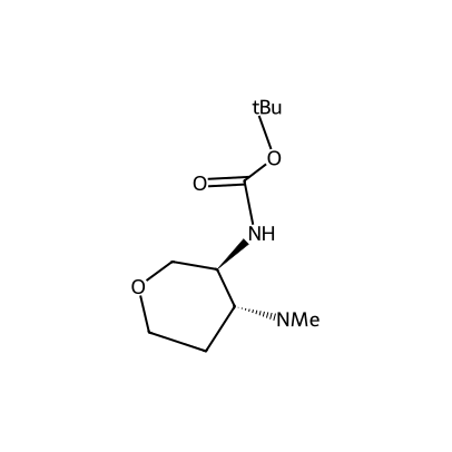 CN[C@@H]1CCOC[C@H]1NC(=O)OC(C)(C)C